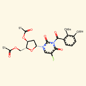 CCC(=O)OC[C@H]1O[C@@H](n2cc(F)c(=O)n(C(=O)c3cccc(OC)c3OC)c2=O)C[C@@H]1OC(=O)CC